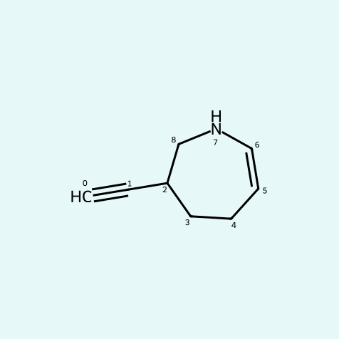 C#CC1CCC=CNC1